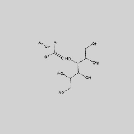 O=C([O-])[O-].OCC(O)C(O)C(O)C(O)CO.[Na+].[Na+]